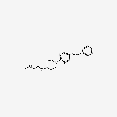 COCCOC1CCN(c2ncc(OCc3ccccc3)cn2)CC1